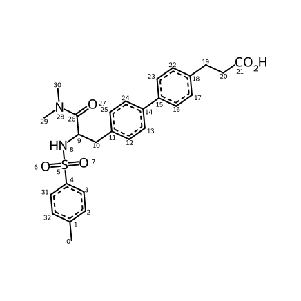 Cc1ccc(S(=O)(=O)NC(Cc2ccc(-c3ccc(CCC(=O)O)cc3)cc2)C(=O)N(C)C)cc1